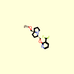 CC(C)OC[C@@]12CCCN1[C@H](COc1ncccc1C(F)F)CC2